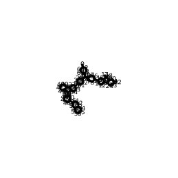 Cc1ccc(N(c2ccc(-c3ccc4c(c3)C(C)(C)c3cc(C)ccc3-4)cc2)c2ccc(-c3ccc4c(c3)c3ccccc3n4-c3cccc(-c4ccc5ccccc5c4)c3)cc2)cc1